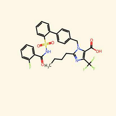 CCCCc1nc(C(F)(F)F)c(C(=O)O)n1Cc1ccc(-c2ccccc2S(=O)(=O)NC(=O)c2ccccc2F)cc1